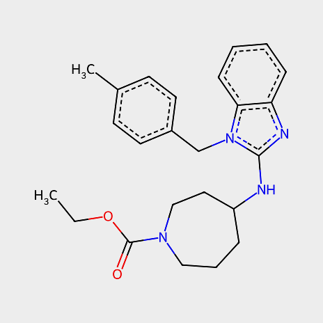 CCOC(=O)N1CCCC(Nc2nc3ccccc3n2Cc2ccc(C)cc2)CC1